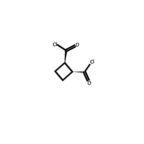 O=C(Cl)[C@@H]1CC[C@H]1C(=O)Cl